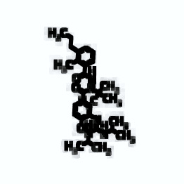 CCCc1cccc(C(=O)NN(C(=O)c2ccc(O)c(N=C(NC(C)C)NC(C)C)c2)C(C)(C)C)c1C